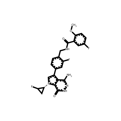 COc1ccc(F)cc1C(=O)NCc1ccc(-c2cn([C@@H]3CC3F)c3c(=O)[nH]nc(N)c23)cc1F